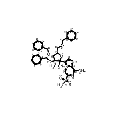 C[C@@]1(OCc2ccccc2)[C@H](OCc2ccccc2)[C@@H](COCc2ccccc2)OC1(C#N)c1cnc2c(N)nc(S(C)(=O)=O)nn12